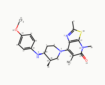 Cc1nc2c(N3CC[C@H](Nc4ccc(OC(F)(F)F)cc4)[C@H](C)C3)c(C#N)c(=O)n(C)c2s1